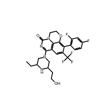 CCC1CN(c2nc(=O)n3c4c(c(-c5ccc(F)cc5F)c(C(F)(F)F)cc24)OCC3)CC(CCO)N1